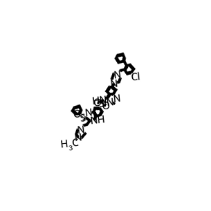 CN1CCN(CCC(CSc2ccccc2)Nc2ccc(S(=O)(=O)Nc3ncnc4cc(N5CCN(Cc6cc(Cl)ccc6-c6ccccc6)CC5)ccc34)cc2[N+](=O)[O-])CC1